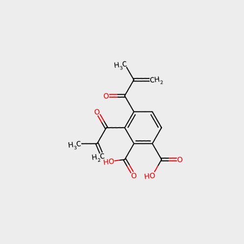 C=C(C)C(=O)c1ccc(C(=O)O)c(C(=O)O)c1C(=O)C(=C)C